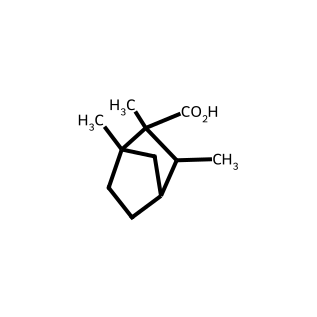 CC1C2CCC(C)(C2)C1(C)C(=O)O